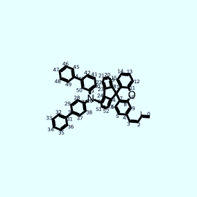 C=C/C=C\c1ccc2c(c1)Oc1ccccc1C21c2ccccc2-c2c(N(c3ccc(-c4ccccc4)cc3)c3cccc(-c4ccccc4)c3)cccc21